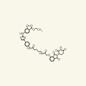 CCOC(=O)c1ccc(Nc2nc(-c3ccc(NC(=O)CCCCNC(=O)COc4cccc5c4C(=O)N(C4CCC(=O)NC4=O)C5=O)cc3)cs2)cc1O